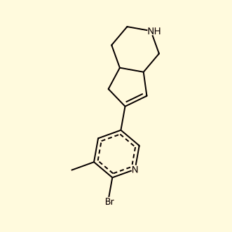 Cc1cc(C2=CC3CNCCC3C2)cnc1Br